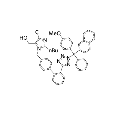 CCCCc1nc(Cl)c(CO)n1Cc1ccc(-c2ccccc2-c2nnn(C(c3ccccc3)(c3ccc(OC)cc3)c3ccc4ccccc4c3)n2)cc1